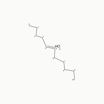 CCCCC=CCCCCC.Cl